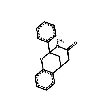 CN1C(=O)CC2CC1(c1ccccc1)Oc1ccccc12